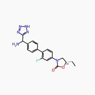 CC[C@H]1CN(c2ccc(-c3ccc(C(N)c4nn[nH]n4)cc3)c(F)c2)C(=O)O1